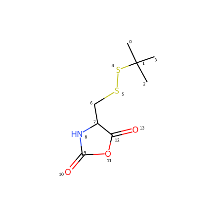 CC(C)(C)SSCC1NC(=O)OC1=O